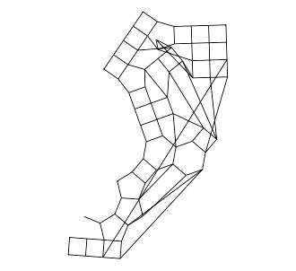 CC1C2C3CC4C5C6C7C8C9C%10CC%11C%12C%13CC%14C%15C%16C%17CC%18C%19%20C%21C%22%23C%24C%25(C6C76C87C9C89C%26C%27%28C%29C%30(C%15C%16%15C%17%18C%19%16C%21%17C%29(C%30%15%16)C%27%15C%26%16C%24(C%256C87%16)C%22%17%15)C%14%13C%12%28C%10%119)C67C5C4C36C3C7C%234C5C(C16C1CCC1C56%20)C234